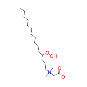 CCCCCCCCCCCC(CCC[N+](C)(C)CC(=O)[O-])OO